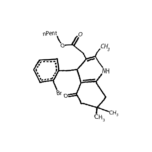 CCCCCOC(=O)C1=C(C)NC2=C(C(=O)CC(C)(C)C2)C1c1ccccc1Br